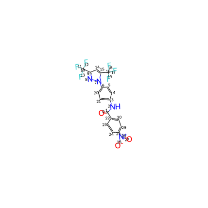 O=C(Nc1ccc(-n2nc(C(F)(F)F)cc2C(F)(F)F)cc1)c1ccc([N+](=O)[O-])cc1